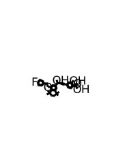 CC1(C)CCC(C)(C)c2c(OCc3ccc(F)cc3)cc(C(O)C#Cc3ccc(C(=O)O)c(O)c3)cc21